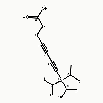 CC(C)[Si](C#CC#CCCC(=O)O)(C(C)C)C(C)C